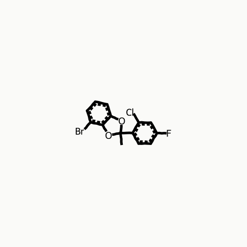 CC1(c2ccc(F)cc2Cl)Oc2cccc(Br)c2O1